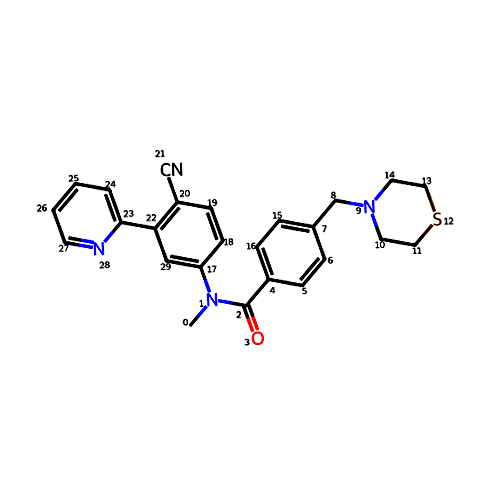 CN(C(=O)c1ccc(CN2CCSCC2)cc1)c1ccc(C#N)c(-c2ccccn2)c1